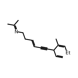 C=CC(C#C/C=C/CCN=C(C)C)/C(C)=C\CC